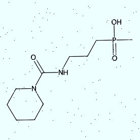 CP(=O)(O)CCCNC(=O)N1CCCCC1